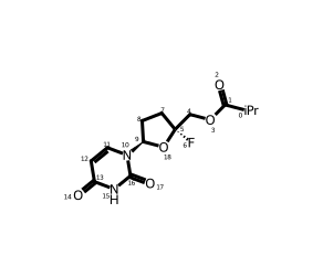 CC(C)C(=O)OC[C@]1(F)CC[C@H](n2ccc(=O)[nH]c2=O)O1